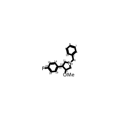 COC1CN(Cc2ccccc2)CC1c1ccc(F)cc1